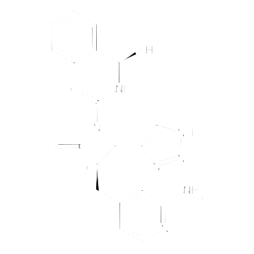 C[C@@H](NC(=O)N1C(=O)[C@H](Cc2ccnc(N)c2)[C@H]1c1c[nH]nn1)c1ccccc1